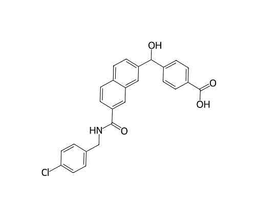 O=C(O)c1ccc(C(O)c2ccc3ccc(C(=O)NCc4ccc(Cl)cc4)cc3c2)cc1